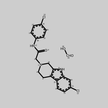 O=C(CN1CCc2c([nH]c3cc(Cl)ccc23)C1)Nc1ccc(Cl)cc1.O=CO